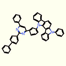 c1ccc(-c2ccc(-c3nc(-c4ccccc4)cc(-c4cccc(-n5c6ccccc6c6ccc7c(c8ccccc8n7-c7ccccc7)c65)c4)n3)cc2)cc1